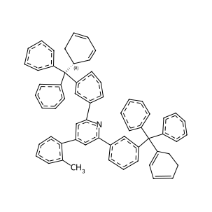 Cc1ccccc1-c1cc(-c2cccc(C(C3=CC=CCC3)(c3ccccc3)c3ccccc3)c2)nc(-c2cccc(C(c3ccccc3)(c3ccccc3)[C@H]3C=CC=CC3)c2)c1